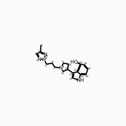 Cc1cnn(CCCN2CCC(c3c[nH]c4cccc(O)c34)C2)n1